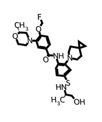 C[C@@H]1CN(c2cc(C(=O)Nc3ccc(SN[C@@H](C)CO)cc3N3CCC4(CC3)CC4)ccc2OCF)CCO1